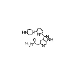 NC(=O)Cc1cc2c(-c3cccc(N4CCNCC4)n3)n[nH]c2cn1